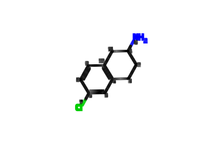 NC1CCc2cc(Cl)ccc2C1